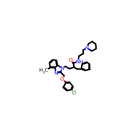 Cc1cccc2c1nc(COc1ccc(Cl)cc1)n2CCC(Cc1ccccc1)C(=O)NCCCN1CCCCC1